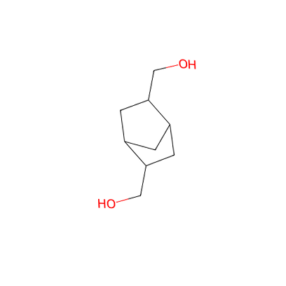 OCC1CC2CC1CC2CO